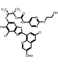 COc1cnc2c(-c3nc4c(Cl)c(F)c(O[C@@H](C)[C@@H](C)OC(=O)Nc5cnc(OCCO)nc5)cc4s3)cc(Cl)cc2c1